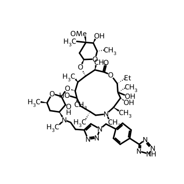 CC[C@H]1OC(=O)[C@H](C)[C@@H](O[C@H]2C[C@@](C)(OC)[C@@H](O)[C@H](C)O2)[C@H](C)[C@@H](O[C@@H]2O[C@H](C)C[C@H](N(C)CCc3cn(Cc4ccc(-c5nn[nH]n5)cc4)nn3)[C@H]2O)[C@](C)(O)C[C@@H](C)CN(C)[C@H](C)[C@@H](O)[C@]1(C)O